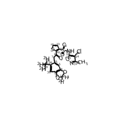 [2H]C1([2H])Oc2cc(CC(=O)c3sccc3S(=O)(=O)Nc3onc(C)c3Cl)c(C([2H])([2H])[2H])cc2O1